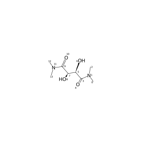 CN(C)C(=O)[C@H](O)[C@@H](O)C(=O)N(C)C